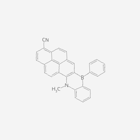 CN1c2ccccc2B(c2ccccc2)c2cc3ccc4c(C#N)ccc5ccc(c21)c3c54